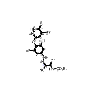 CCOC(=O)NC(=O)/C(C#N)=N\Nc1cc(F)c(Oc2cc(C(C)C)c(=O)[nH]n2)c(Cl)c1